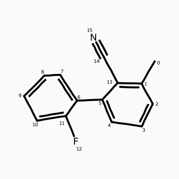 Cc1cccc(-c2ccccc2F)c1C#N